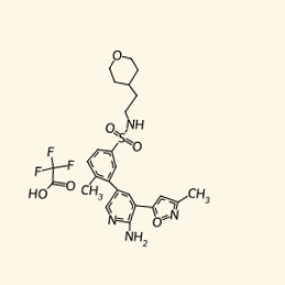 Cc1cc(-c2cc(-c3cc(S(=O)(=O)NCCC4CCOCC4)ccc3C)cnc2N)on1.O=C(O)C(F)(F)F